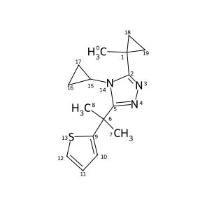 CC1(c2nnc(C(C)(C)c3cccs3)n2C2CC2)CC1